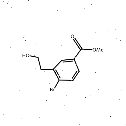 COC(=O)c1ccc(Br)c(CCO)c1